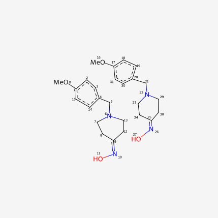 COc1ccc(CN2CCC(=NO)CC2)cc1.COc1ccc(CN2CCC(=NO)CC2)cc1